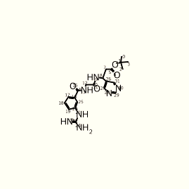 CC(C)(C)OC(=O)CC(NC(=O)CNC(=O)c1cccc(NC(=N)N)c1)c1cncnc1